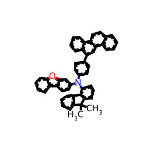 CC1(C)c2ccccc2-c2c(N(c3ccc(-c4cc5c6ccccc6ccc5c5ccccc45)cc3)c3ccc4c(c3)oc3ccccc34)cccc21